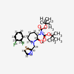 CC(C)(C)OC(=O)N(C(=O)OC(C)(C)C)[C@@H]1CC[C@@H](c2cccc(F)c2F)CN(Cc2nccs2)C1=O